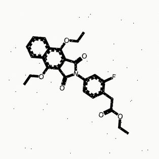 CCOC(=O)Cc1ccc(N2C(=O)c3c(c(OCC)c4ccccc4c3OCC)C2=O)cc1F